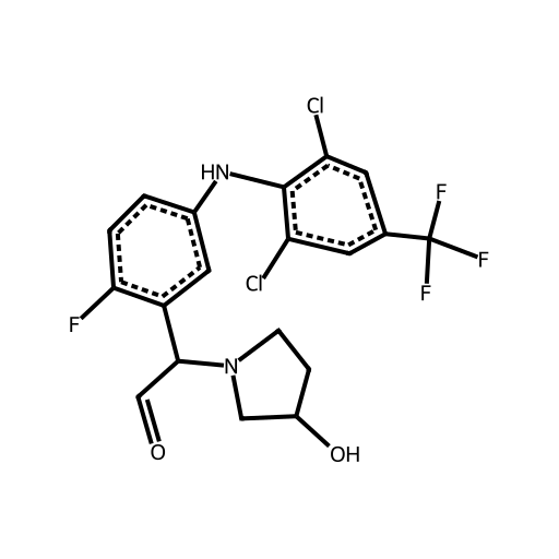 O=CC(c1cc(Nc2c(Cl)cc(C(F)(F)F)cc2Cl)ccc1F)N1CCC(O)C1